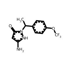 CC(c1ccc(OC(F)(F)F)cc1)n1[nH]c(N)cc1=O